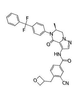 C[C@H]1Cn2ncc(NC(=O)c3ccc(CC4COC4)c(C#N)c3)c2C(=O)N1c1ccc(C(F)(F)c2ccccc2)cc1